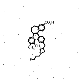 Cc1ccc(C2=C(c3ccc(CC4CN(CCCF)C4)cc3)c3ccc(C(=O)O)cc3CCC2)cc1C